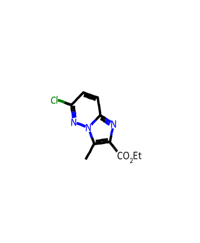 CCOC(=O)c1nc2ccc(Cl)nn2c1C